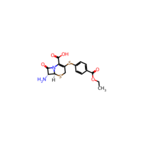 CCOC(=O)c1ccc(SC2=C(C(=O)O)N3C(=O)[C@@H](N)[C@@H]3SC2)cc1